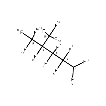 F[C](F)C(F)(F)C(F)(F)C(F)(C(F)(F)F)C(F)(F)F